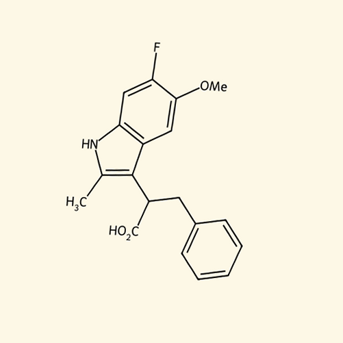 COc1cc2c(C(Cc3ccccc3)C(=O)O)c(C)[nH]c2cc1F